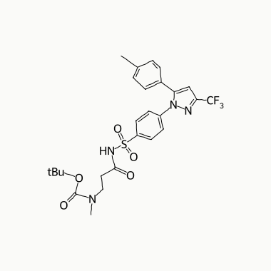 Cc1ccc(-c2cc(C(F)(F)F)nn2-c2ccc(S(=O)(=O)NC(=O)CCN(C)C(=O)OC(C)(C)C)cc2)cc1